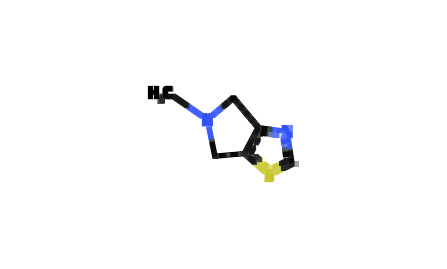 CN1Cc2n[c]sc2C1